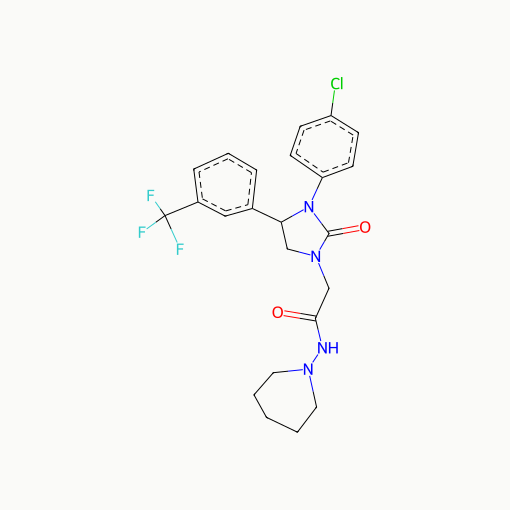 O=C(CN1CC(c2cccc(C(F)(F)F)c2)N(c2ccc(Cl)cc2)C1=O)NN1CCCCC1